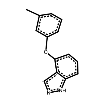 Cc1cccc(Oc2cccc3[nH]n[c]c23)c1